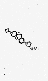 CC(=O)N[C@@H]1CCN(c2ccc3c(c2)COC2(CCN(C4CCC4)CC2)O3)C1